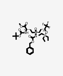 CC[Si](CC)(CC)O[C@H](CC[S@](=O)(CC[C@H](NC(=O)OC(C)(C)C)C(=O)OC)=NC(=O)OCc1ccccc1)C(F)(F)F